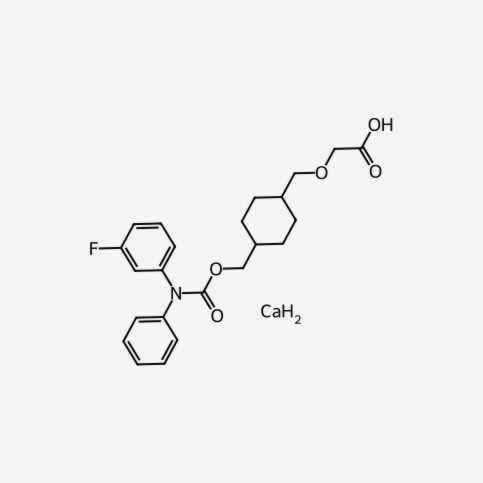 O=C(O)COCC1CCC(COC(=O)N(c2ccccc2)c2cccc(F)c2)CC1.[CaH2]